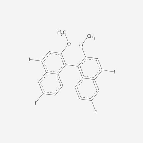 COc1cc(I)c2cc(I)ccc2c1-c1c(OC)cc(I)c2cc(I)ccc12